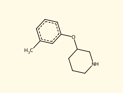 Cc1cccc(OC2CCCNC2)c1